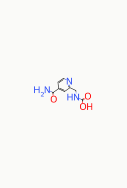 NC(=O)c1ccnc(CNC(=O)O)c1